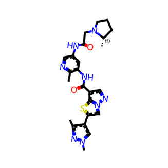 Cc1ncc(NC(=O)CN2CCC[C@@H]2C)cc1NC(=O)c1cnn2cc(-c3cn(C)nc3C)sc12